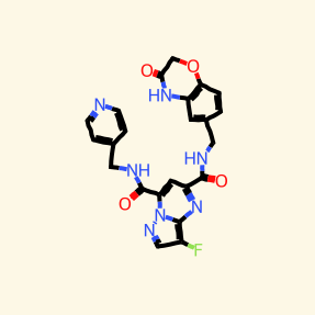 O=C1COc2ccc(CNC(=O)c3cc(C(=O)NCc4ccncc4)n4ncc(F)c4n3)cc2N1